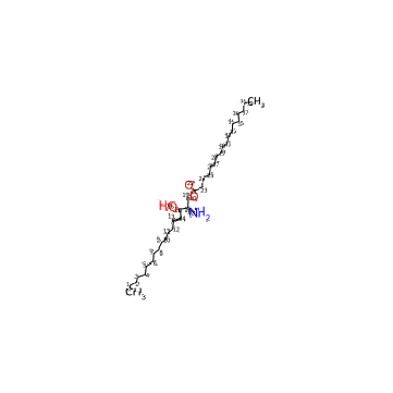 CCCCCCCCCCCCCC=CC(O)C(N)COC(=O)CCCCCCCCCCCCCCCCC